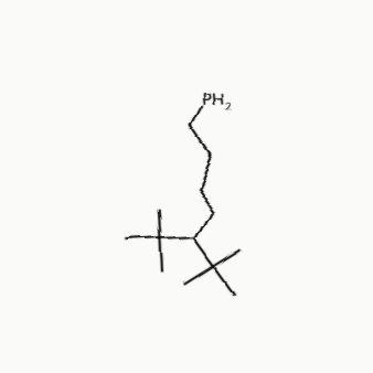 CC(C)(C)C(CCCCP)C(C)(C)C